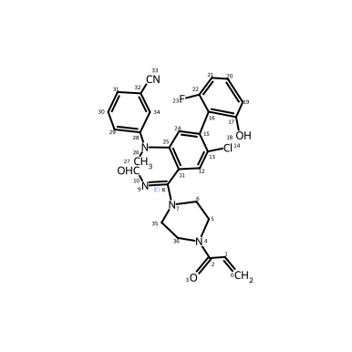 C=CC(=O)N1CCN(/C(=N/C=O)c2cc(Cl)c(-c3c(O)cccc3F)cc2N(C)c2cccc(C#N)c2)CC1